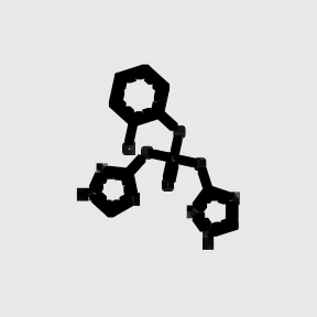 O=P(Oc1nc[nH]n1)(Oc1nc[nH]n1)Oc1ccccc1Cl